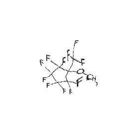 COC1(C(F)(F)F)C(F)(F)C(F)(F)C(F)(F)C1(F)F